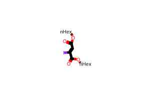 CCCCCCOC(=O)C=C(I)C(=O)OCCCCCC